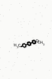 CCC1CCC(c2ccc(-c3ccc(OC)cc3)cc2)CC1